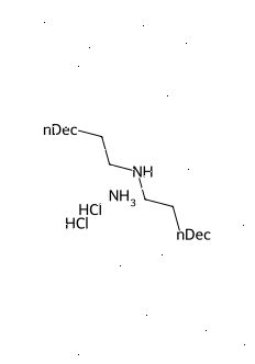 CCCCCCCCCCCCNCCCCCCCCCCCC.Cl.Cl.N